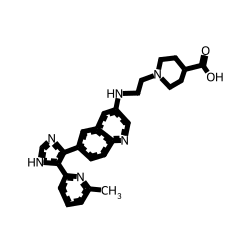 Cc1cccc(-c2[nH]cnc2-c2ccc3ncc(NCCN4CCC(C(=O)O)CC4)cc3c2)n1